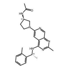 CC(=O)N[C@@H]1CCN(c2cc3c(N[C@H](C)c4ccccc4C)nc(C)nc3cn2)C1